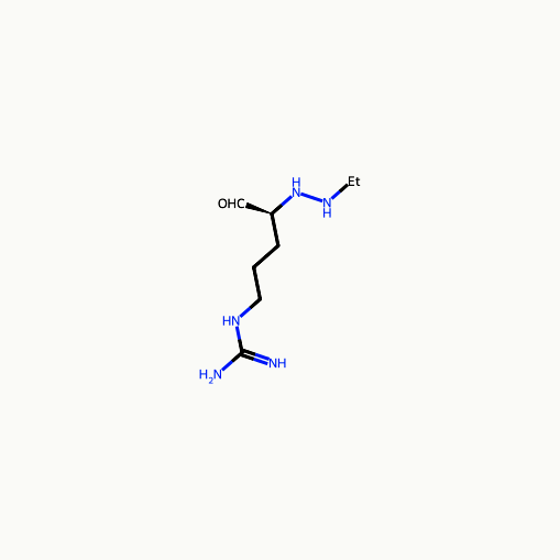 CCNN[C@H](C=O)CCCNC(=N)N